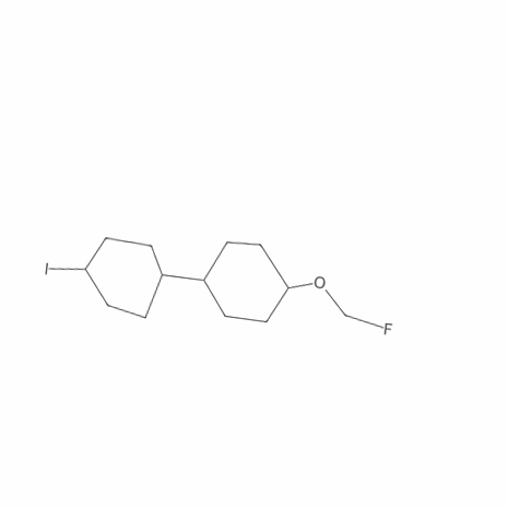 FCOC1CCC(C2CCC(I)CC2)CC1